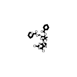 CC1(F)C(OC(=O)c2ccccc2)[C@@H](COC(=O)c2ccccc2)OC1n1cnc2c(Cl)nc(Cl)nc21